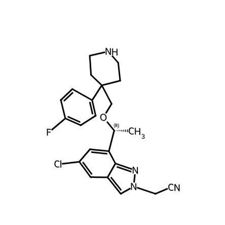 C[C@@H](OCC1(c2ccc(F)cc2)CCNCC1)c1cc(Cl)cc2cn(CC#N)nc12